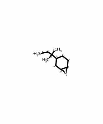 CC(C)(C[SiH2])C1CCC2OC2C1